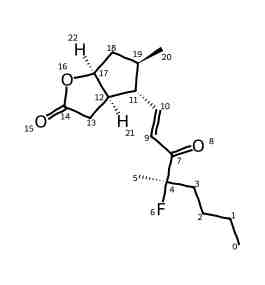 CCCC[C@@](C)(F)C(=O)C=C[C@@H]1[C@H]2CC(=O)O[C@H]2C[C@H]1C